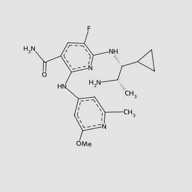 COc1cc(Nc2nc(N[C@H](C3CC3)[C@H](C)N)c(F)cc2C(N)=O)cc(C)n1